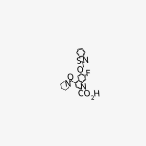 O=C(O)c1cc(C(=O)N2CCCCC2)c2cc(OCc3nc4ccccc4s3)c(F)cc2n1